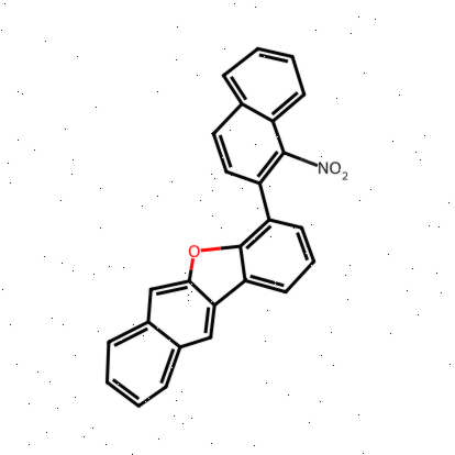 O=[N+]([O-])c1c(-c2cccc3c2oc2cc4ccccc4cc23)ccc2ccccc12